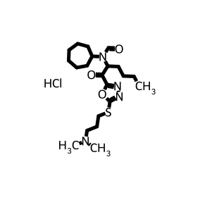 CCCCC(C(=O)c1nnc(SCCCN(C)C)o1)N(C=O)C1CCCCCC1.Cl